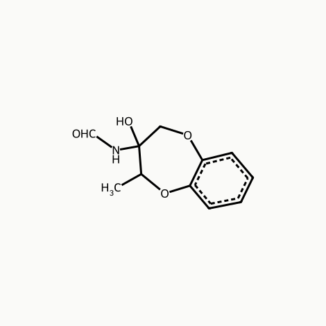 CC1Oc2ccccc2OCC1(O)NC=O